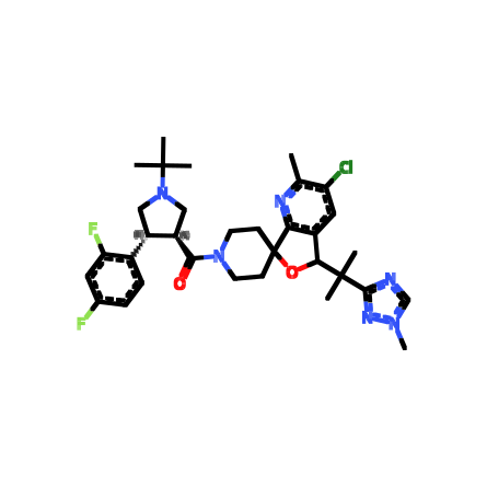 Cc1nc2c(cc1Cl)C(C(C)(C)c1ncn(C)n1)OC21CCN(C(=O)[C@@H]2CN(C(C)(C)C)C[C@H]2c2ccc(F)cc2F)CC1